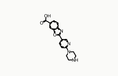 O=C(O)c1ccc2nc(-c3ccc(N4CCNCC4)nc3)oc2c1